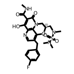 CNC(=O)c1c(O)c2ncc(Cc3ccc(F)cc3)c3c2n(c1=O)C[C@@H](CN(C)S(=O)(=O)N(C)C)O3